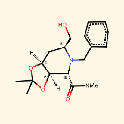 CNC(=O)[C@@H]1[C@H]2OC(C)(C)O[C@H]2C[C@@H](CO)N1Cc1ccccc1